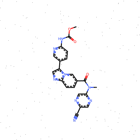 COC(=O)Nc1ccc(-c2cnc3ccc(C(=O)N(C)c4cnc(C#N)cn4)cn23)cn1